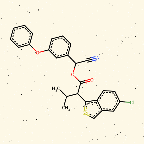 CC(C)C(C(=O)OC(C#N)c1cccc(Oc2ccccc2)c1)c1scc2cc(Cl)ccc12